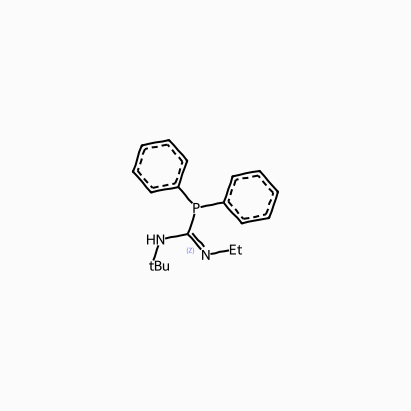 CC/N=C(/NC(C)(C)C)P(c1ccccc1)c1ccccc1